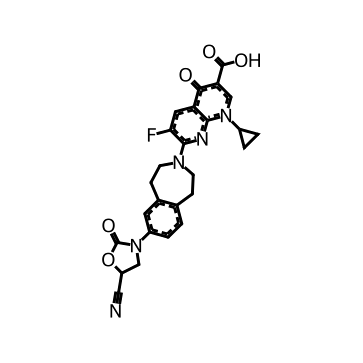 N#CC1CN(c2ccc3c(c2)CCN(c2nc4c(cc2F)c(=O)c(C(=O)O)cn4C2CC2)CC3)C(=O)O1